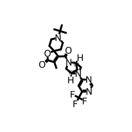 CC1=C(C(=O)N2C[C@@H]3C[C@H]2CN3c2cc(C(F)(F)F)ncn2)C2(CCN(C(C)(C)C)CC2)OC1=O